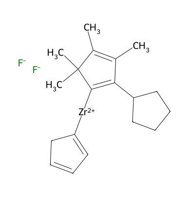 CC1=C(C)C(C)(C)[C]([Zr+2][C]2=CC=CC2)=C1C1CCCC1.[F-].[F-]